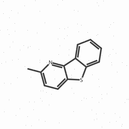 Cc1ccc2sc3ccccc3c2n1